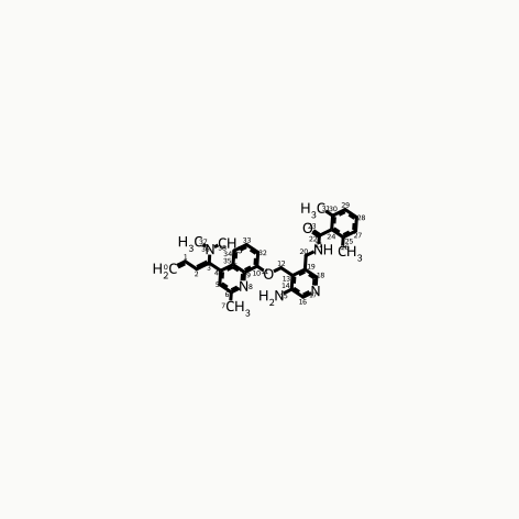 C=C/C=C(/c1cc(C)nc2c(OCc3c(N)cncc3CNC(=O)c3c(C)cccc3C)cccc12)N(C)C